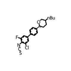 CCCCC1CC[C@@H](c2ccc(-c3cc(F)c(N=C=S)c(Cl)c3)cc2)OC1